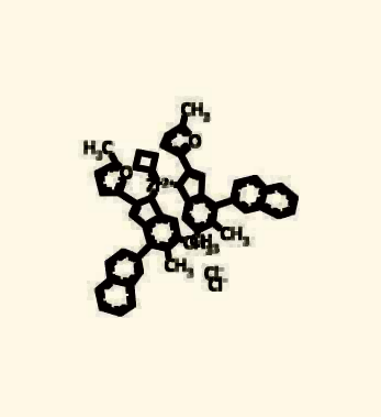 Cc1ccc(C2=Cc3c(cc(C)c(C)c3-c3ccc4ccccc4c3)[CH]2[Zr+2](=[C]2CCC2)[CH]2C(c3ccc(C)o3)=Cc3c2cc(C)c(C)c3-c2ccc3ccccc3c2)o1.[Cl-].[Cl-]